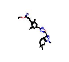 CCOC(=N)CCc1c(C)cc(-c2noc(-c3nn(C)c4c3CCC(C)(C)C4)n2)cc1C